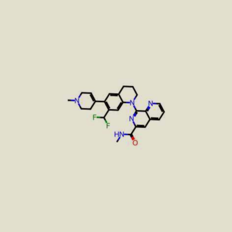 CNC(=O)c1cc2cccnc2c(N2CCCc3cc(C4=CCN(C)CC4)c(C(F)F)cc32)n1